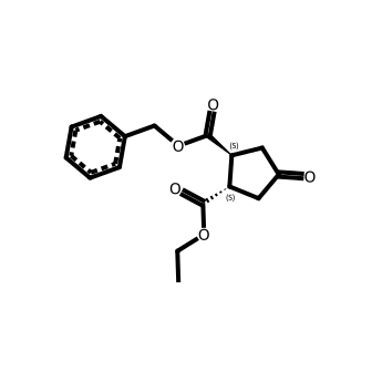 CCOC(=O)[C@H]1CC(=O)C[C@@H]1C(=O)OCc1ccccc1